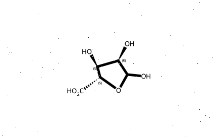 O=C(O)[C@H]1OC(O)[C@H](O)[C@@H]1O